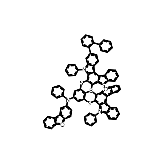 c1ccc(-c2ccccc2-c2ccc3c4c5c(sc6ccccc65)c5c(c4n(-c4ccccc4)c3c2)Sc2cc(N(c3ccccc3)c3ccc4oc6ccccc6c4c3)cc3c2B5c2c(c4c(c5ccccc5n4-c4ccccc4)c4c2oc2ccccc24)S3)cc1